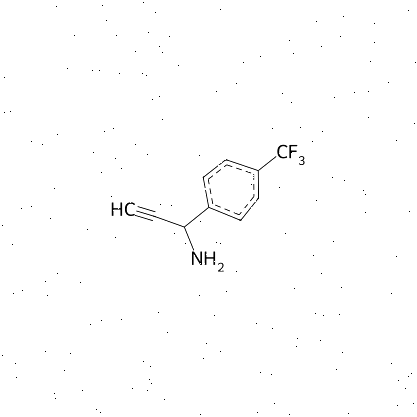 C#CC(N)c1ccc(C(F)(F)F)cc1